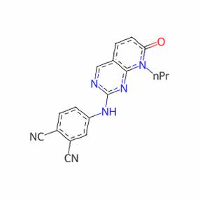 CCCn1c(=O)ccc2cnc(Nc3ccc(C#N)c(C#N)c3)nc21